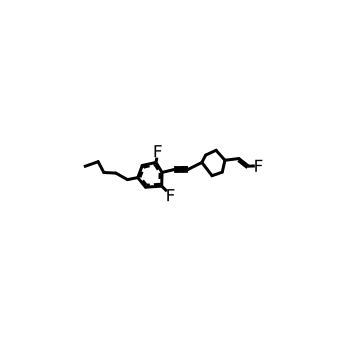 CCCCCc1cc(F)c(C#CC2CCC(C=CF)CC2)c(F)c1